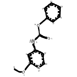 COc1cc(NC(=O)Oc2ccccc2)ccn1